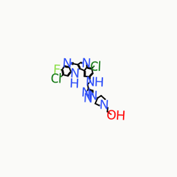 N#Cc1cnc2c(Cl)cc(NCc3cn(C4CCN(CCO)CC4)nn3)cc2c1Nc1ccc(F)c(Cl)c1